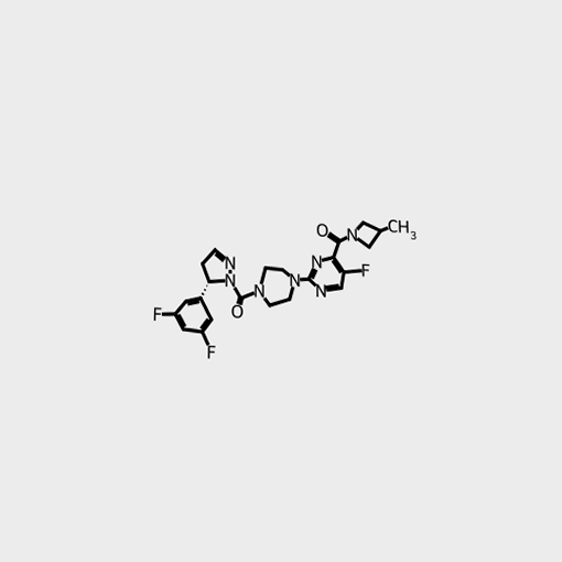 CC1CN(C(=O)c2nc(N3CCN(C(=O)N4N=CC[C@H]4c4cc(F)cc(F)c4)CC3)ncc2F)C1